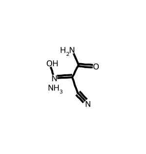 N.N#CC(=NO)C(N)=O